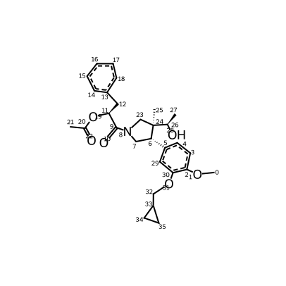 COc1ccc([C@@H]2CN(C(=O)[C@H](Cc3ccccc3)OC(C)=O)C[C@@]2(C)[C@@H](C)O)cc1OCC1CC1